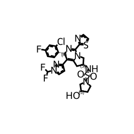 O=S(=O)(N[C@H]1CC2=C(c3ccn(C(F)F)n3)[C@H](c3ccc(F)cc3Cl)N=C(c3nccs3)N2C1)N1CC[C@H](O)C1